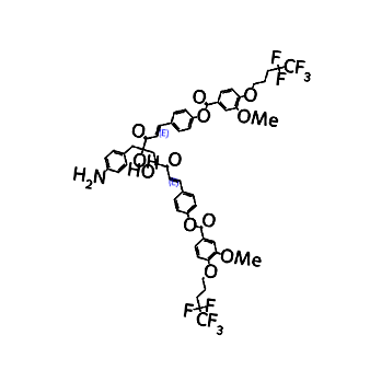 COc1cc(C(=O)Oc2ccc(/C=C/C(=O)C(O)CC(O)(Cc3ccc(N)cc3)C(=O)/C=C/c3ccc(OC(=O)c4ccc(OCCCC(F)(F)C(F)(F)F)c(OC)c4)cc3)cc2)ccc1OCCCC(F)(F)C(F)(F)F